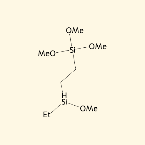 CC[SiH](CC[Si](OC)(OC)OC)OC